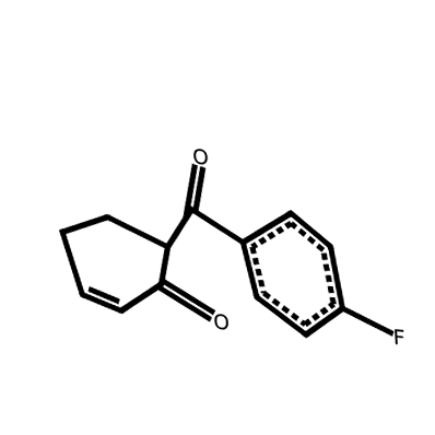 O=C1C=CCCC1C(=O)c1ccc(F)cc1